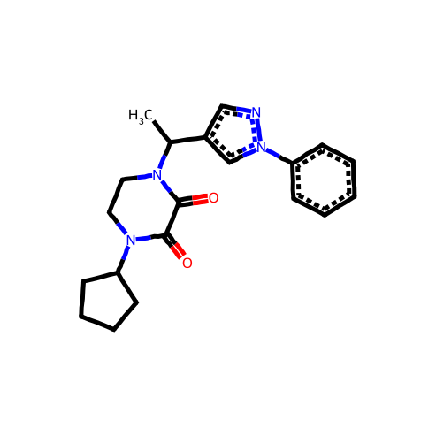 CC(c1cnn(-c2ccccc2)c1)N1CCN(C2CCCC2)C(=O)C1=O